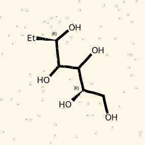 CC[C@@H](O)C(O)C(O)[C@H](O)CO